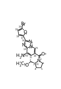 COC[C@@H]1CCCN1C(=O)c1cc(N)c2nc(-c3ccc(Br)o3)nn2c1